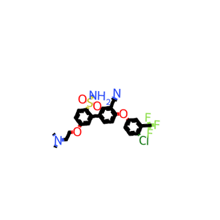 CN(C)CCOc1ccc(S(N)(=O)=O)c(-c2ccc(Oc3ccc(Cl)c(C(F)(F)F)c3)c(C#N)c2)c1